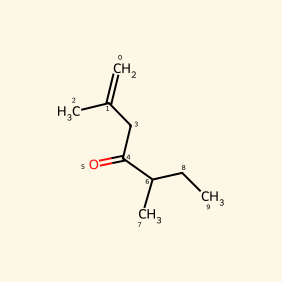 C=C(C)CC(=O)C(C)CC